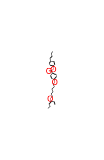 C=C/C(=C\CC)OCCCCCCOc1ccc(C(=O)Oc2ccc(/C=C/CC)cc2)cc1